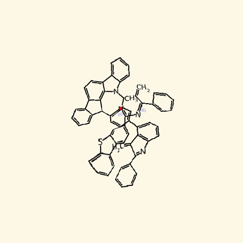 C=C/C(=N\C(=N/C(C)n1c2ccccc2c2ccc3c(c21)C(c1ccc(-c2cccc4c2C(=C)C(c2ccccc2)=N4)cc1)c1ccccc1-3)c1ccc2c(c1)sc1ccccc12)c1ccccc1